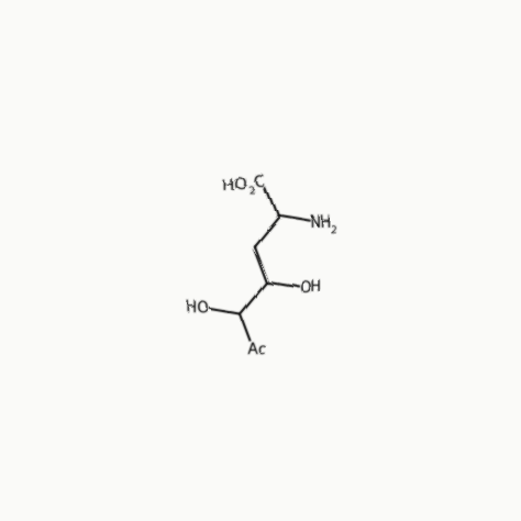 CC(=O)C(O)C(O)CC(N)C(=O)O